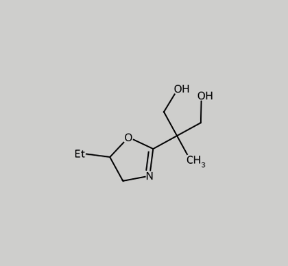 CCC1CN=C(C(C)(CO)CO)O1